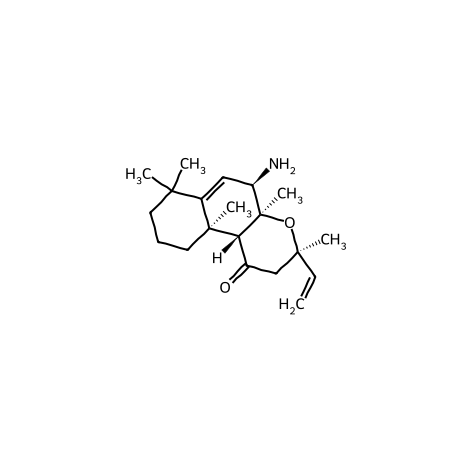 C=C[C@@]1(C)CC(=O)[C@H]2[C@](C)(O1)[C@H](N)C=C1C(C)(C)CCC[C@@]12C